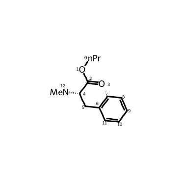 CCCOC(=O)[C@H](Cc1ccccc1)NC